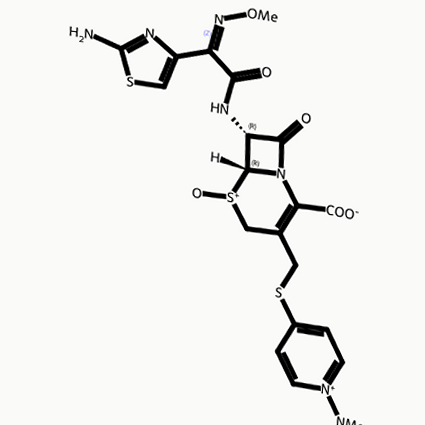 CN[n+]1ccc(SCC2=C(C(=O)[O-])N3C(=O)[C@@H](NC(=O)/C(=N\OC)c4csc(N)n4)[C@H]3[S+]([O-])C2)cc1